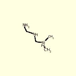 C[SiH](C)CNCN